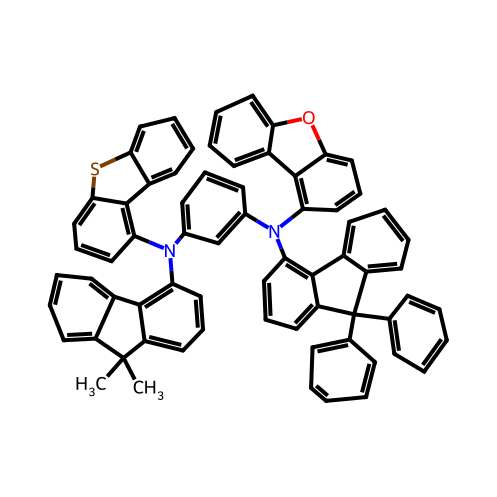 CC1(C)c2ccccc2-c2c(N(c3cccc(N(c4cccc5c4-c4ccccc4C5(c4ccccc4)c4ccccc4)c4cccc5oc6ccccc6c45)c3)c3cccc4sc5ccccc5c34)cccc21